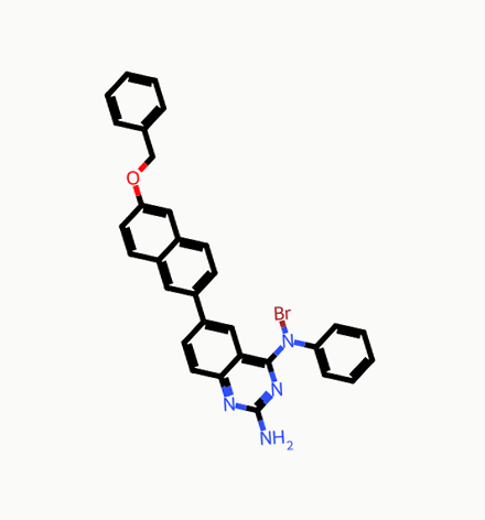 Nc1nc(N(Br)c2ccccc2)c2cc(-c3ccc4cc(OCc5ccccc5)ccc4c3)ccc2n1